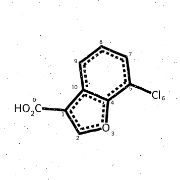 O=C(O)c1coc2c(Cl)cccc12